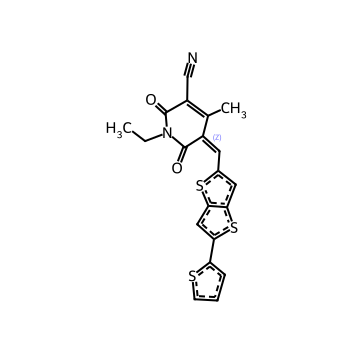 CCN1C(=O)C(C#N)=C(C)/C(=C/c2cc3sc(-c4cccs4)cc3s2)C1=O